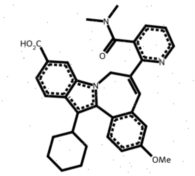 COc1ccc2c(c1)C=C(c1ncccc1C(=O)N(C)C)Cn1c-2c(C2CCCCC2)c2ccc(C(=O)O)cc21